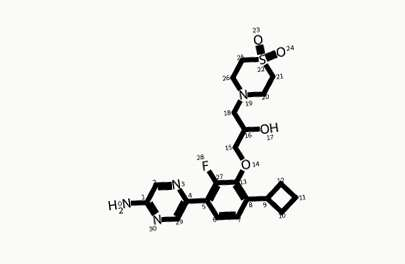 Nc1cnc(-c2ccc(C3CCC3)c(OCC(O)CN3CCS(=O)(=O)CC3)c2F)cn1